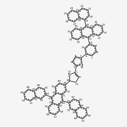 C1=C(c2ccc(-c3cccc(-c4c5ccccc5c(-c5cccc6ccccc56)c5ccccc45)c3)s2)SC(c2ccc3c(-c4ccc5ccccc5c4)c4ccccc4c(-c4ccc5ccccc5c4)c3c2)C1